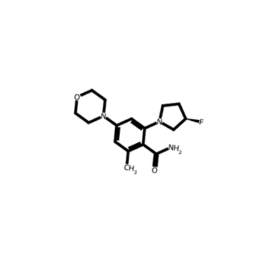 Cc1cc(N2CCOCC2)cc(N2CC[C@@H](F)C2)c1C(N)=O